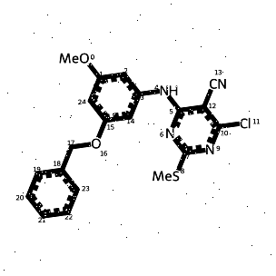 COc1cc(Nc2nc(SC)nc(Cl)c2C#N)cc(OCc2ccccc2)c1